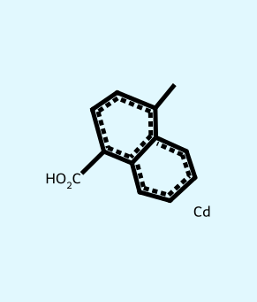 Cc1ccc(C(=O)O)c2ccccc12.[Cd]